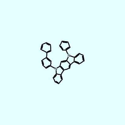 c1ccc(-c2cccc(-n3c4ccccc4c4cc5c6ccccc6n(-c6ccccc6)c5cc43)c2)cc1